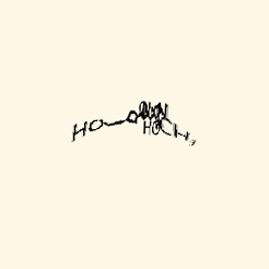 C[C@H](O)c1nccn1Cc1cc(-c2ccc(C#CCCO)cc2)on1